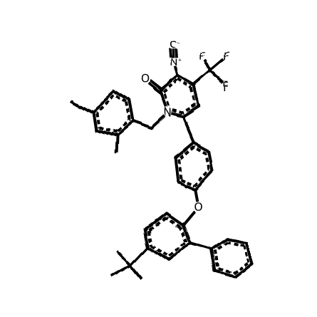 [C-]#[N+]c1c(C(F)(F)F)cc(-c2ccc(Oc3ccc(C(C)(C)C)cc3-c3ccccc3)cc2)n(Cc2ccc(C)cc2C)c1=O